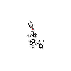 Cc1c(-c2cc(O[C@H](CO)c3ccc(F)cn3)c3c(Cl)cnn3c2)nnn1C1CC(N2CC3COCC(C2)N3C#N)C1